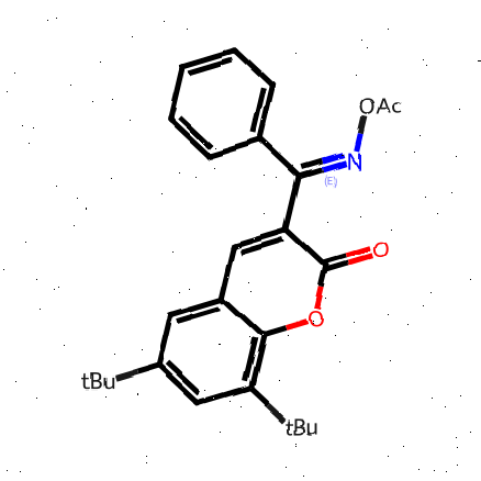 CC(=O)O/N=C(\c1ccccc1)c1cc2cc(C(C)(C)C)cc(C(C)(C)C)c2oc1=O